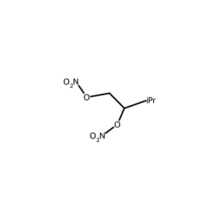 CC(C)C(CO[N+](=O)[O-])O[N+](=O)[O-]